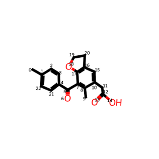 Cc1ccc(C(=O)c2c(C)c(CC(=O)O)cc3c2OCC3)cc1